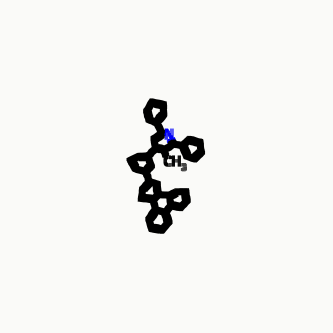 Cc1c(-c2cccc(-c3ccc4c5ccccc5c5ccccc5c4c3)c2)cc(-c2ccccc2)nc1-c1ccccc1